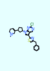 CN1CCC=C(C2CCC(n3cc(-c4nc(Cc5ccccc5)cs4)c4cnc(Cl)nc43)C2)C1